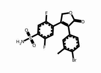 Cc1cc(C2=C(c3cc(F)c(S(N)(=O)=O)cc3F)COC2=O)ccc1Br